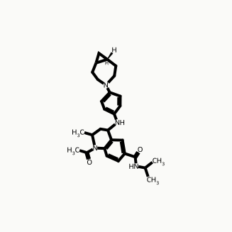 CC(=O)N1c2ccc(C(=O)NC(C)C)cc2C(Nc2ccc(N3CCC4C[C@@H]4CC3)cc2)CC1C